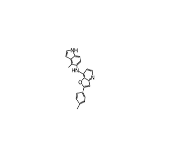 Cc1ccc(-c2cc3nccc(Nc4ccc5[nH]ccc5c4C)c3o2)cc1